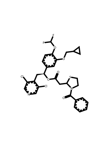 O=C(CC1SCCN1C(=O)c1ccccc1)O[C@@H](Cc1c(Cl)cncc1Cl)c1ccc(OC(F)F)c(OCC2CC2)c1